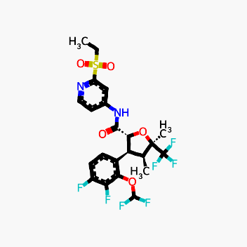 CCS(=O)(=O)c1cc(NC(=O)[C@@H]2O[C@@](C)(C(F)(F)F)[C@@H](C)[C@H]2c2ccc(F)c(F)c2OC(F)F)ccn1